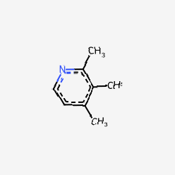 [CH]c1c(C)ccnc1C